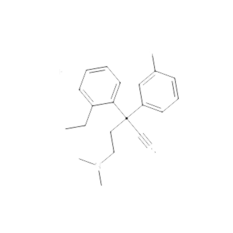 CCc1ccccc1C(C#N)(CCN(C)C)c1cccc(Cl)c1.Cl